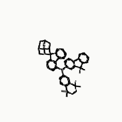 CC1(C)CCC(C)(C)c2cc(N(c3ccc4c(c3)C(C)(C)c3ccccc3-4)c3cccc4c3-c3ccccc3C43C4CC5CC6CC3C64C5)ccc21